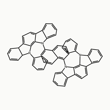 C1=CC2c3ccc4c5ccccc5n(-c5cccc6c(-n7c8ccccc8c8ccc9c%10ccccc%10n(-c%10ccccc%10)c9c87)cccc56)c4c3N(c3ccccc3)C2C=C1